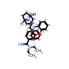 CCN(CC)C(=N)c1ccc2c(c1)Oc1ccccc1N2[C@H]1C[C@H]2CC[C@@H](C1)N2CCc1ccccc1